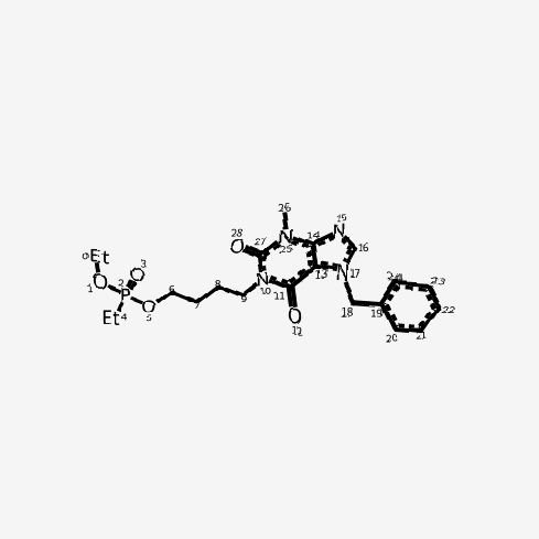 CCOP(=O)(CC)OCCCCn1c(=O)c2c(ncn2Cc2ccccc2)n(C)c1=O